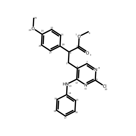 COC(=O)C(Cc1cnc(Cl)nc1Nc1ccccc1)c1ccc(OC)cc1